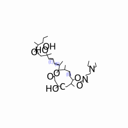 CCC(O)C(C)C1OC1CC(C)(O)/C=C/C=C(\C)C1OC(=O)CC(O)CCC(C)C(OC(=O)N(C)CCN(CC)CC)/C=C/C1C